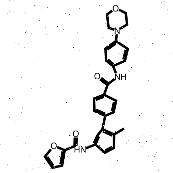 Cc1ccc(NC(=O)c2ccco2)cc1-c1ccc(C(=O)Nc2ccc(N3CCOCC3)cc2)cc1